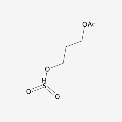 CC(=O)OCCCO[SH](=O)=O